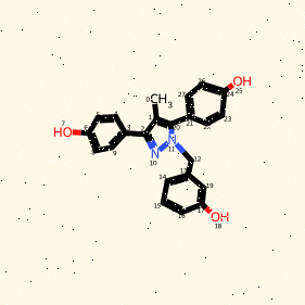 Cc1c(-c2ccc(O)cc2)nn(Cc2cccc(O)c2)c1-c1ccc(O)cc1